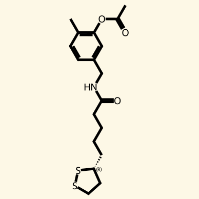 CC(=O)Oc1cc(CNC(=O)CCCC[C@@H]2CCSS2)ccc1C